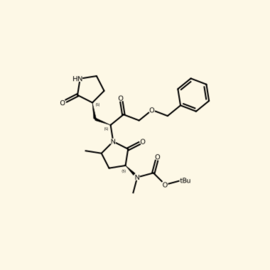 CC1C[C@H](N(C)C(=O)OC(C)(C)C)C(=O)N1[C@@H](C[C@@H]1CCNC1=O)C(=O)COCc1ccccc1